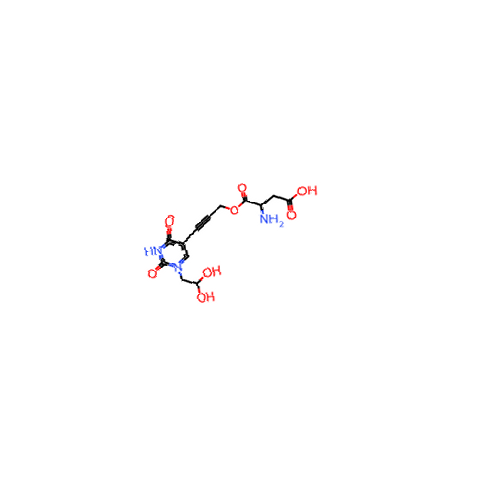 NC(CC(=O)O)C(=O)OCC#Cc1cn(CC(O)O)c(=O)[nH]c1=O